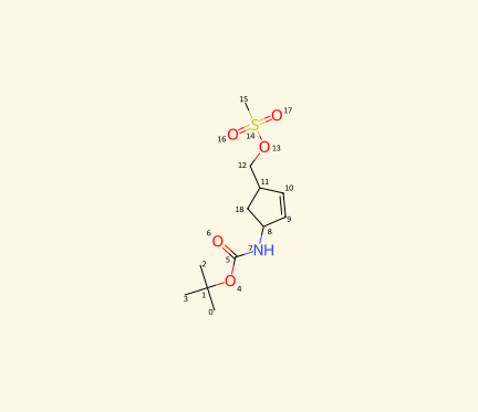 CC(C)(C)OC(=O)NC1C=CC(COS(C)(=O)=O)C1